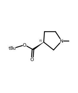 CN1CC[C@H](C(=O)OC(C)(C)C)C1